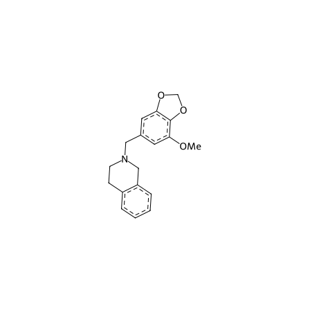 COc1cc(CN2CCc3ccccc3C2)cc2c1OCO2